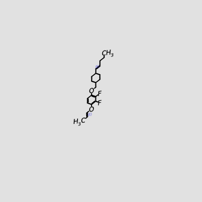 C/C=C/Oc1ccc(OCC2CCC(/C=C/CCC)CC2)c(F)c1F